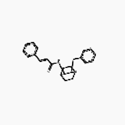 O=C(/C=C/c1ccccn1)NC1C2CCN(CC2)C1Cc1cccnc1